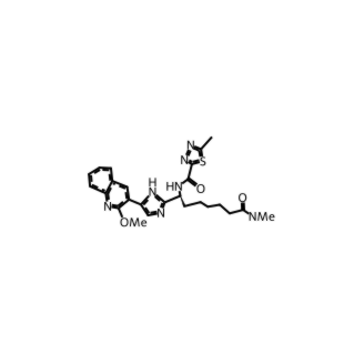 CNC(=O)CCCCC[C@H](NC(=O)c1nnc(C)s1)c1ncc(-c2cc3ccccc3nc2OC)[nH]1